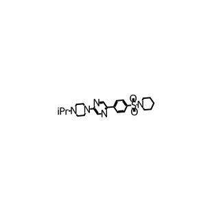 CC(C)N1CCN(c2cnc(-c3ccc(S(=O)(=O)N4CCCCC4)cc3)cn2)CC1